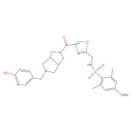 COc1cc(C)c(S(=O)(=O)NCc2nc(C(=O)N3CC4CN(Cc5ccc(O)nc5)CC4C3)co2)c(C)c1